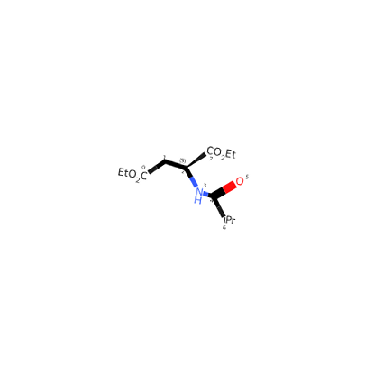 CCOC(=O)C[C@H](NC(=O)C(C)C)C(=O)OCC